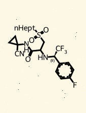 CCCCCCCS(=O)(=O)CC(N[C@H](c1ccc(F)cc1)C(F)(F)F)C(=O)NC1(C#N)CC1